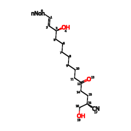 CCCCCCCCC/C=C/[C@@H](O)CCCCCCCC(=O)CC[C@@H](C#N)CO